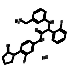 Cl.NCc1cccc(NC(C(=O)Nc2ccc(N3CCCC3=O)c(F)c2)c2ccccc2F)c1